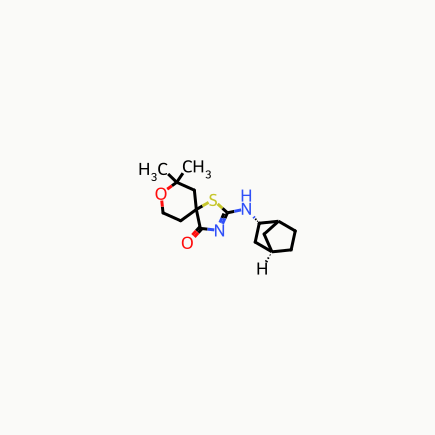 CC1(C)CC2(CCO1)SC(N[C@H]1C[C@@H]3CCC1C3)=NC2=O